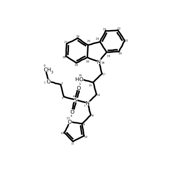 COCCS(=O)(=O)N(Cc1ccco1)CC(O)Cn1c2ccccc2c2ccccc21